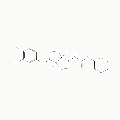 O=C(NC1CCCCC1)N[C@H]1CO[C@H]2[C@@H]1OC[C@@H]2Oc1ccc(F)c(Cl)c1